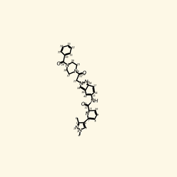 Cc1nn(C)cc1-c1cccc(C(=O)Nc2ccc3nn(CC(=O)N4CCN(C(=O)c5ccccc5)CC4)cc3c2)n1